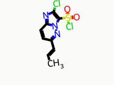 CC=Cc1ccc2nc(Cl)c(S(=O)(=O)Cl)n2n1